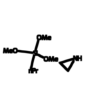 C1CN1.CCC[Si](OC)(OC)OC